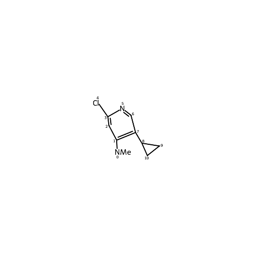 CNc1cc(Cl)ncc1C1CC1